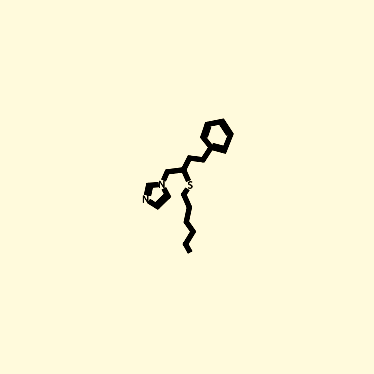 CCCCCCSC(CCc1ccccc1)Cn1ccnc1